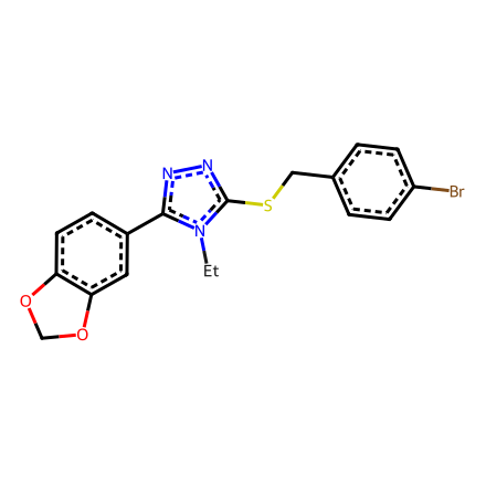 CCn1c(SCc2ccc(Br)cc2)nnc1-c1ccc2c(c1)OCO2